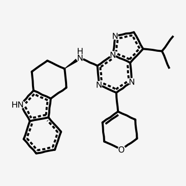 CC(C)c1cnn2c(N[C@@H]3CCc4[nH]c5ccccc5c4C3)nc(C3=CCOCC3)nc12